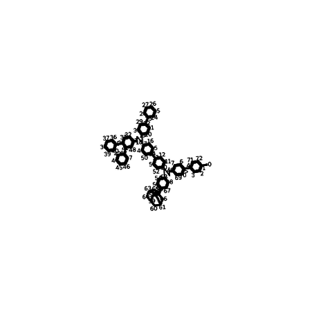 Cc1ccc(-c2ccc(N(c3ccc(-c4ccc(N(c5ccc(-c6ccccc6)cc5)c5ccc(-c6ccccc6)c(-c6ccccc6)c5)cc4)cc3)c3ccc(C45CC6CC(CC(C6)C4)C5)cc3)cc2)cc1